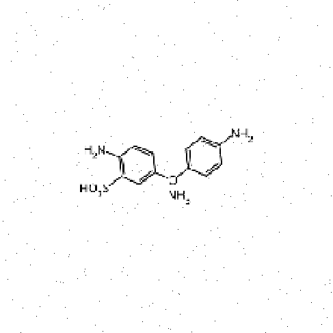 N.Nc1ccc(Oc2ccc(N)c(S(=O)(=O)O)c2)cc1